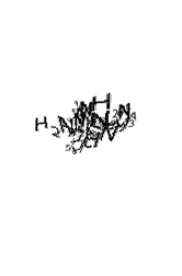 N#Cc1c(-c2ccccc2Cl)c(CN)n2ccnc2c1NCc1cccnc1